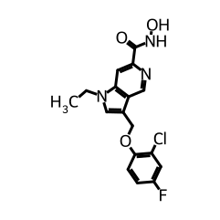 CCn1cc(COc2ccc(F)cc2Cl)c2cnc(C(=O)NO)cc21